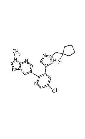 Cn1cnc2cc(-c3ncc(Cl)cc3-c3cnn(CC4(C)CCCC4)c3)cnc21